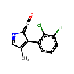 CC1=C(c2cccc(Cl)c2Cl)C(=C=O)N=C1